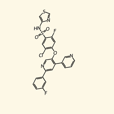 O=S(=O)(Nc1cscn1)c1cc(Cl)c(Oc2cnc(-c3cccc(F)c3)cc2-c2cccnc2)cc1F